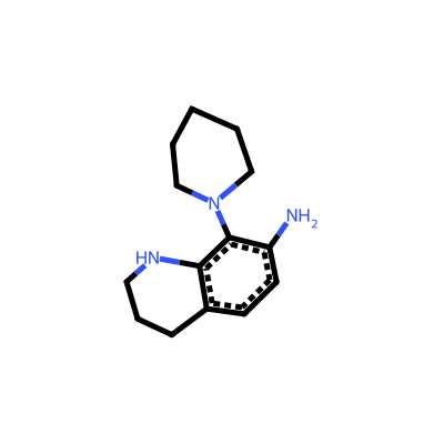 Nc1ccc2c(c1N1CCCCC1)NCCC2